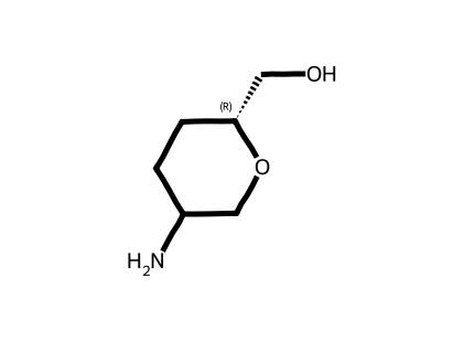 NC1CC[C@H](CO)OC1